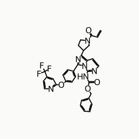 C=CC(=O)N1CCC(c2nc(-c3ccc(Oc4cc(C(F)(F)F)ccn4)cc3)n3c(NC(=O)OCc4ccccc4)nccc23)C1